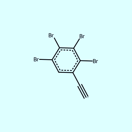 [C]#Cc1cc(Br)c(Br)c(Br)c1Br